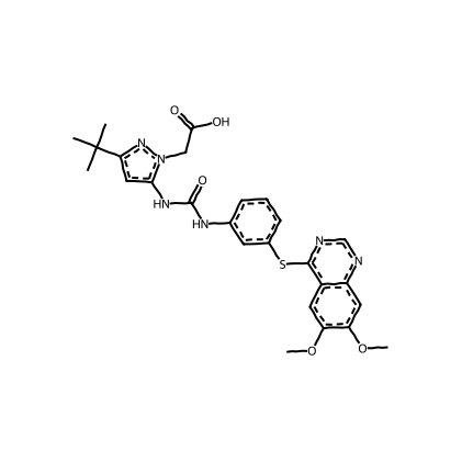 COc1cc2ncnc(Sc3cccc(NC(=O)Nc4cc(C(C)(C)C)nn4CC(=O)O)c3)c2cc1OC